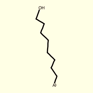 OCCCCCCC[CH2][Al]